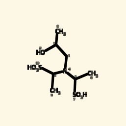 CC(O)CN(C(C)S(=O)(=O)O)C(C)S(=O)(=O)O